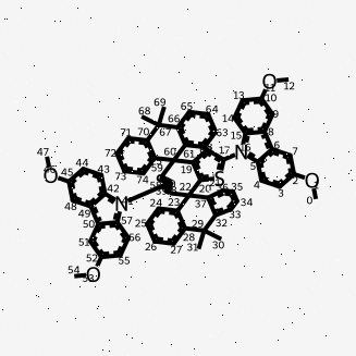 COc1ccc2c(c1)c1cc(OC)ccc1n2-c1cc2c(s1)C1(c3ccccc3C(C)(C)c3ccccc31)c1cc(-n3c4ccc(OC)cc4c4cc(OC)ccc43)sc1C21c2ccccc2C(C)(C)c2ccccc21